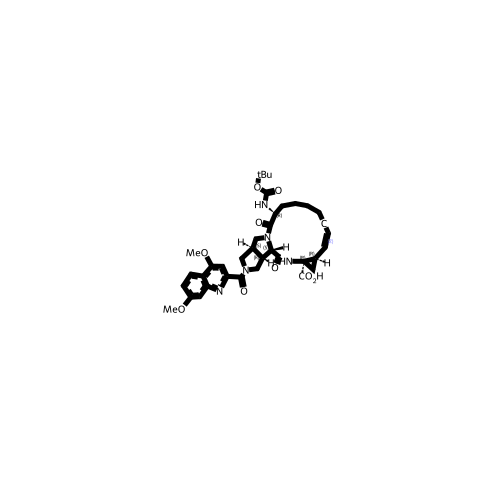 COc1ccc2c(OC)cc(C(=O)N3C[C@H]4CN5C(=O)[C@H](NC(=O)OC(C)(C)C)CCCCC/C=C\[C@H]6C[C@@]6(C(=O)O)NC(=O)[C@@H]5[C@H]4C3)nc2c1